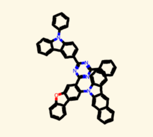 c1ccc(-c2nc(-c3ccc4c(c3)c3ccccc3n4-c3ccccc3)nc(-c3cc4oc5ccccc5c4cc3-n3c4ccccc4c4cc5ccccc5cc43)n2)cc1